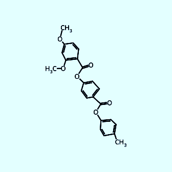 COc1ccc(C(=O)Oc2ccc(C(=O)Oc3ccc(C)cc3)cc2)c(OC)c1